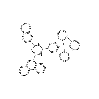 c1ccc(C2(c3ccc(-c4nc(-c5ccc6ccccc6c5)nc(-c5cc6ccccc6c6ccccc56)n4)cc3)c3ccccc3-c3ccccc32)cc1